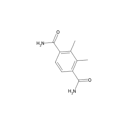 Cc1c(C(N)=O)ccc(C(N)=O)c1C